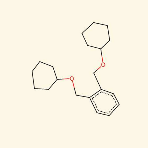 c1ccc(COC2CCCCC2)c(COC2CCCCC2)c1